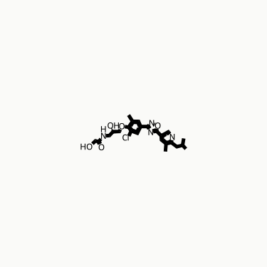 Cc1cc(-c2nc(-c3cc(C)c(OC[C@@H](O)CNC(=O)CO)c(Cl)c3)no2)cnc1CC(C)C